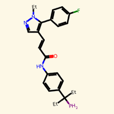 CCn1ncc(/C=C/C(=O)Nc2ccc(C(P)(CC)CC)cc2)c1-c1ccc(F)cc1